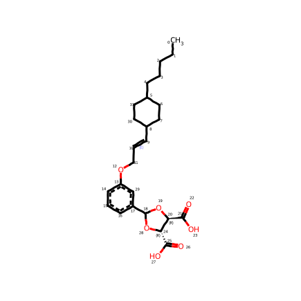 CCCCCC1CCC(/C=C/COc2cccc(C3O[C@@H](C(=O)O)[C@H](C(=O)O)O3)c2)CC1